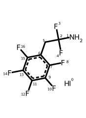 I.NC(F)(F)Cc1c(F)c(F)c(F)c(F)c1F